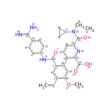 C.C=Cc1cc(C(=O)Nc2ccc(C(=N)N)cc2)c(-c2ccc(C(=O)N(C)C3CC3)nc2C(=O)O)cc1OC